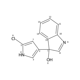 OC1(c2c[nH]c(Cl)c2)C=Nc2ccccc21